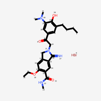 Br.CCCCc1cc(C(=O)CN2Cc3cc(OCC)c(C(=O)NC)cc3C2=N)cc(N(C)C)c1O